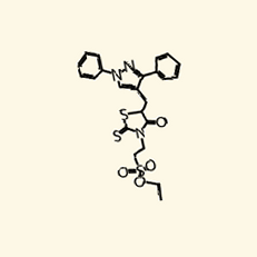 CCOS(=O)(=O)CCN1C(=O)C(Cc2cn(-c3ccccc3)nc2-c2ccccc2)SC1=S